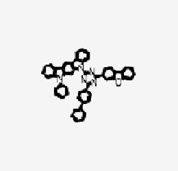 c1ccc(-c2ccc(-c3nc(-c4ccc5c(c4)oc4ccccc45)nc(-n4c5ccccc5c5cc6c7ccccc7n(-c7ccccc7)c6cc54)n3)cc2)cc1